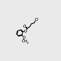 COc1ccccc1OC(=O)CCCCl